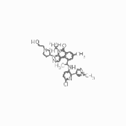 [2H]C([2H])([2H])n1c(=O)c2cc(C)cc(C(C)Nc3ccc(Cl)nc3-c3cnn(C)c3)c2c2cnn(C3CCN(CCO)C3)c21